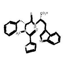 CN(C(=O)c1cccs1)[C@H](Cc1ccccc1)C(=O)N[C@@H](Cc1c[nH]c2ccccc12)C(=O)O